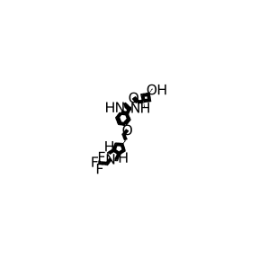 C[C@]1(C(=O)Nc2c[nH]c3ccc(OCC[C@@H]4C[C@@H]5CN(CC(F)(F)F)C[C@@H]5C4)cc23)C[C@H](O)C1